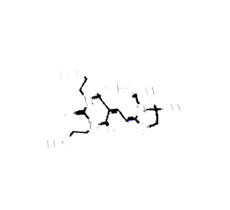 C#CN1/C(=C\C=C2C(=O)N(CCC)C(=O)N(CCC)C2=O)OCC1(C)C